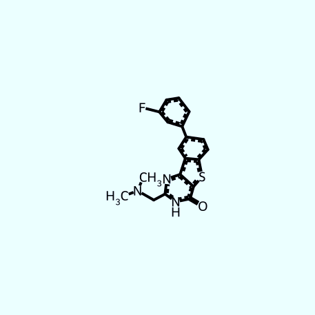 CN(C)Cc1nc2c(sc3ccc(-c4cccc(F)c4)cc32)c(=O)[nH]1